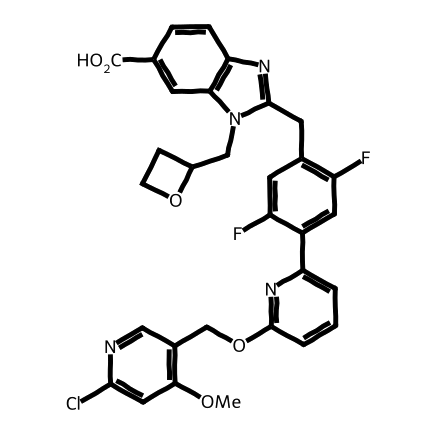 COc1cc(Cl)ncc1COc1cccc(-c2cc(F)c(Cc3nc4ccc(C(=O)O)cc4n3CC3CCO3)cc2F)n1